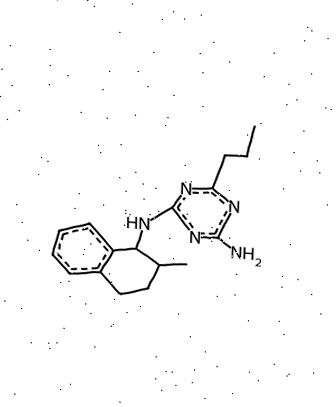 CCCc1nc(N)nc(NC2c3ccccc3CCC2C)n1